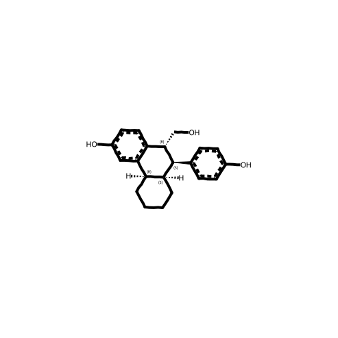 OC[C@H]1c2ccc(O)cc2[C@@H]2CCCC[C@@H]2[C@@H]1c1ccc(O)cc1